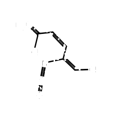 C=C(Cl)/C=C\C(=C/C)N=C=O